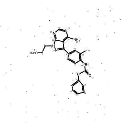 COCCn1nc(-c2ccc(NC(=O)Oc3ccccc3)c(F)c2)c2c(N)ncnc21